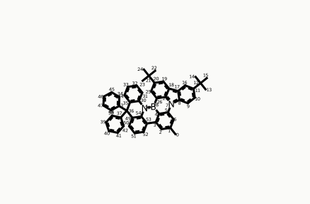 Cc1cc2c3c(c1)-n1c4ccc(C(C)(C)C)cc4c4cc(C(C)(C)C)cc(c41)B3N1c3ccccc3C(c3ccccc3)(c3ccccc3)c3cccc-2c31